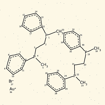 CP(CCP(C)c1ccccc1)c1ccccc1.CP(CCP(C)c1ccccc1)c1ccccc1.[Au+].[Br-]